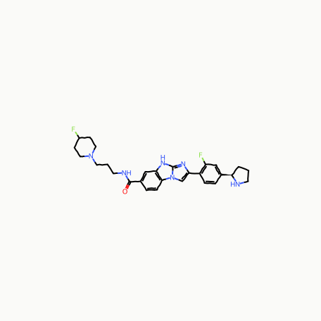 O=C(NCCCN1CCC(F)CC1)c1ccc2c(c1)[nH]c1nc(-c3ccc([C@H]4CCCN4)cc3F)cn12